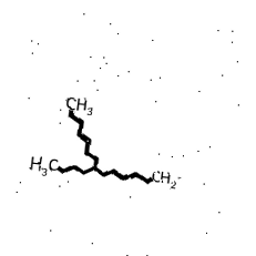 [CH2]CCCCCC(CCCC)CCCCCCC